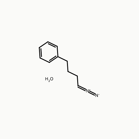 O.[N-]=[N+]=CCCCc1ccccc1